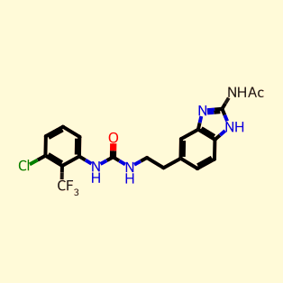 CC(=O)Nc1nc2cc(CCNC(=O)Nc3cccc(Cl)c3C(F)(F)F)ccc2[nH]1